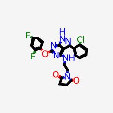 O=C1CCC(=O)N1CCNc1nc(Oc2ccc(F)cc2F)nc2[nH]nc(-c3ccccc3Cl)c12